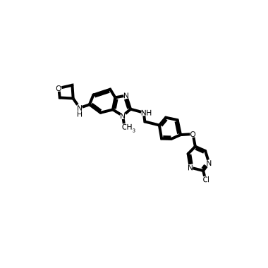 Cn1c(NCc2ccc(Oc3cnc(Cl)nc3)cc2)nc2ccc(NC3COC3)cc21